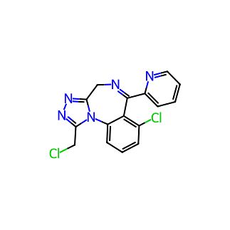 ClCc1nnc2n1-c1cccc(Cl)c1C(c1ccccn1)=NC2